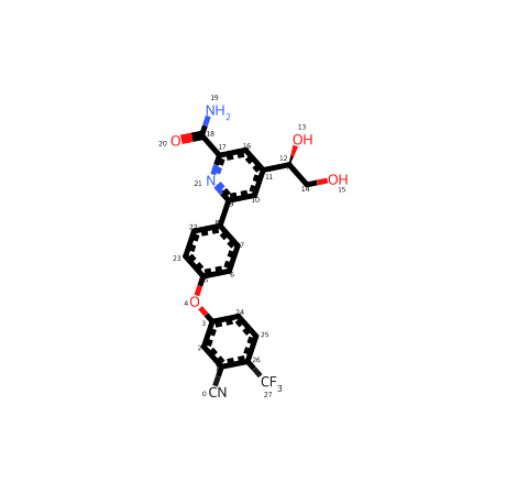 N#Cc1cc(Oc2ccc(-c3cc([C@@H](O)CO)cc(C(N)=O)n3)cc2)ccc1C(F)(F)F